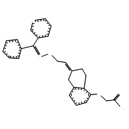 O=C(O)COc1cccc2c1CC/C(=C/CO/N=C(/c1ccccc1)c1cccnc1)C2